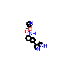 O=C(NC1CCCc2cc(-c3ccnc4[nH]ccc34)ccc21)O[C@H]1CN2CCC1CC2